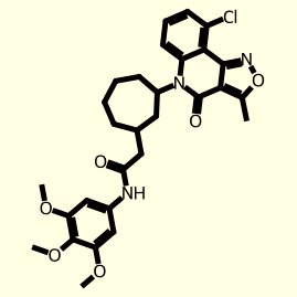 COc1cc(NC(=O)CC2CCCCC(n3c(=O)c4c(C)onc4c4c(Cl)cccc43)C2)cc(OC)c1OC